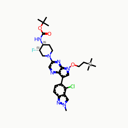 Cn1cc2c(Cl)c(-c3cn(OCC[Si](C)(C)C)c4nc(N5CC[C@H](NC(=O)OC(C)(C)C)[C@@H](F)C5)cnc34)ccc2n1